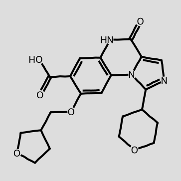 O=C(O)c1cc2[nH]c(=O)c3cnc(C4CCOCC4)n3c2cc1OCC1CCOC1